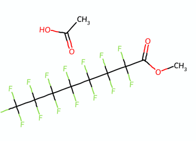 CC(=O)O.COC(=O)C(F)(F)C(F)(F)C(F)(F)C(F)(F)C(F)(F)C(F)(F)C(F)(F)F